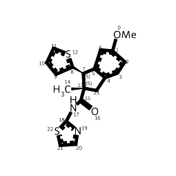 COc1ccc2c(c1)[C@H](c1cccs1)[C@@](C)(C(=O)Nc1nccs1)C2